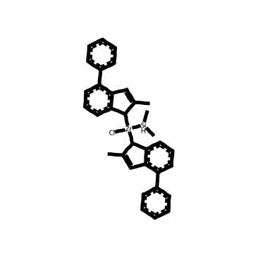 CC1=Cc2c(-c3ccccc3)cccc2[CH]1[Zr]([Cl])([CH]1C(C)=Cc2c(-c3ccccc3)cccc21)[SiH](C)C